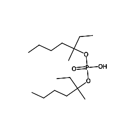 CCCCC(C)(CC)OP(=O)(O)OC(C)(CC)CCCC